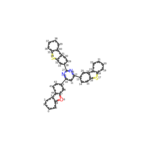 c1ccc2c(c1)oc1cc(-c3cc(-c4ccc5sc6ccccc6c5c4)nc(-c4ccc5c(c4)sc4ccccc45)n3)ccc12